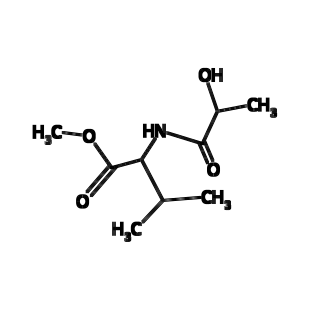 COC(=O)C(NC(=O)C(C)O)C(C)C